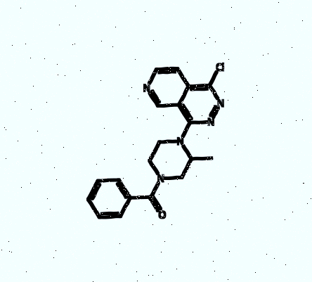 CC1CN(C(=O)c2ccccc2)CCN1c1nnc(Cl)c2ccncc12